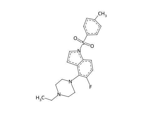 CCN1CCN(c2c(F)ccc3c2ccn3S(=O)(=O)c2ccc(C)cc2)CC1